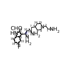 NCCN1CCC(CN(N)/C=C(\N)c2c(C=O)[nH]c3ccc(F)cc23)CC1